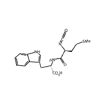 CSCC[C@H](N=C=O)C(=O)N[C@@H](Cc1c[nH]c2ccccc12)C(=O)O